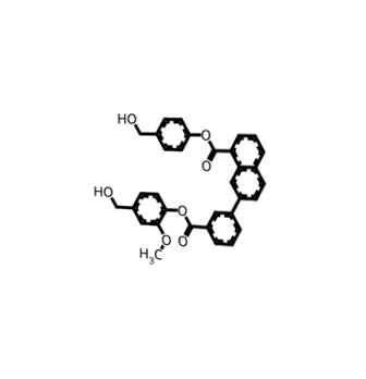 COc1cc(CO)ccc1OC(=O)c1cccc(-c2ccc3cccc(C(=O)Oc4ccc(CO)cc4)c3c2)c1